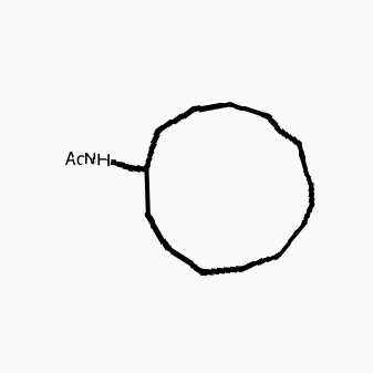 CC(=O)NC1CCCCCCCCCCCC1